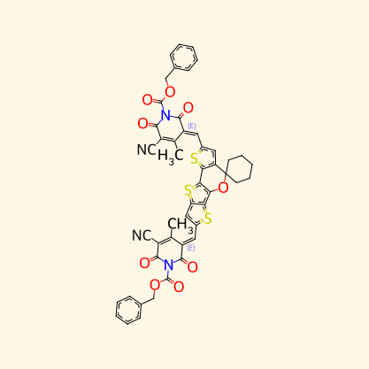 CC1=C(C#N)C(=O)N(C(=O)OCc2ccccc2)C(=O)/C1=C/c1cc2c(s1)-c1sc3cc(/C=C4/C(=O)N(C(=O)OCc5ccccc5)C(=O)C(C#N)=C4C)sc3c1OC21CCCCC1